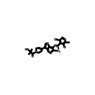 C[C@@H](Oc1c(N)ncc2c(C3=CCN(C(=O)C(C)(C)O)CC3)coc12)c1c(Cl)ccc(F)c1Cl